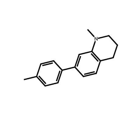 Cc1ccc(-c2ccc3c(c2)N(C)CCC3)cc1